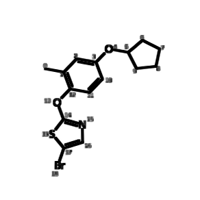 Cc1cc(OC2CCCC2)ccc1Oc1ncc(Br)s1